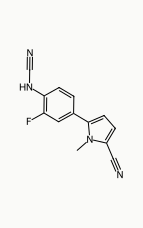 Cn1c(C#N)ccc1-c1ccc(NC#N)c(F)c1